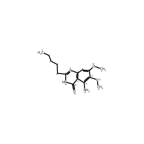 CCCCCc1nc2cc(OC)c(OC)c(N)c2c(=O)[nH]1